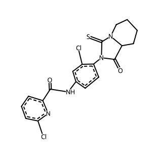 O=C(Nc1ccc(N2C(=O)C3CCCCN3C2=S)c(Cl)c1)c1cccc(Cl)n1